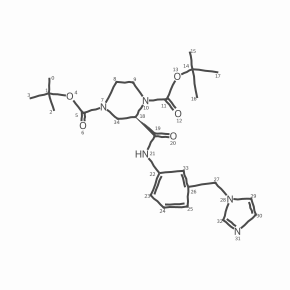 CC(C)(C)OC(=O)N1CCN(C(=O)OC(C)(C)C)[C@@H](C(=O)Nc2cccc(Cn3ccnc3)c2)C1